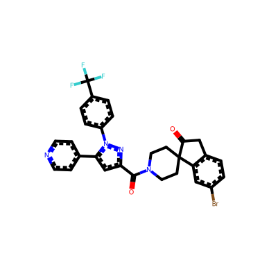 O=C(c1cc(-c2ccncc2)n(-c2ccc(C(F)(F)F)cc2)n1)N1CCC2(CC1)C(=O)Cc1ccc(Br)cc12